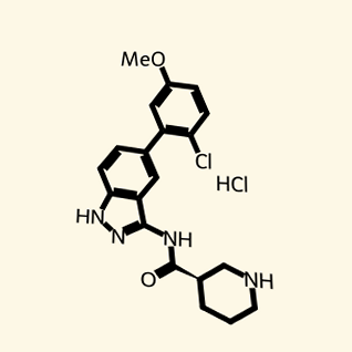 COc1ccc(Cl)c(-c2ccc3[nH]nc(NC(=O)[C@@H]4CCCNC4)c3c2)c1.Cl